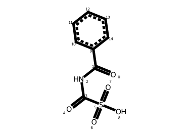 O=C(NC(=O)S(=O)(=O)O)c1ccccc1